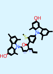 C=C/C=C(\C=C/Cn1c2c(C)cc(C)cc2c2cc(O)cc(C)c21)C(=O)c1ccc(-n2c3c(C)cc(C)cc3c3cc(O)cc(C)c32)cc1SC